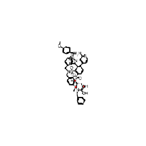 COc1ccc(CN(Cc2ccc(OC)cc2)S(=O)(=O)c2c(S(=O)(=O)N[C@H](CO)CN(Cc3ccccc3)C(=O)O)ccc(-c3ccnc(N)c3)c2-c2nnn(Cc3ccc(OC)cc3)n2)cc1